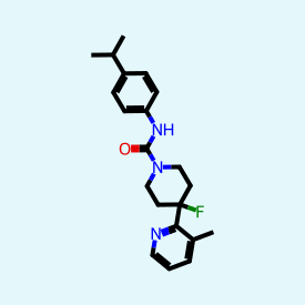 Cc1cccnc1C1(F)CCN(C(=O)Nc2ccc(C(C)C)cc2)CC1